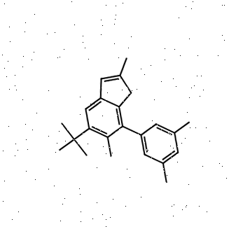 CC1=Cc2cc(C(C)(C)C)c(C)c(-c3cc(C)cc(C)c3)c2C1